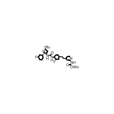 COC(=O)Nc1cc(CCc2ccc(NC(=O)Nc3cc(C(C)(C)C)nn3-c3cccc(F)c3)c(F)c2)ccn1